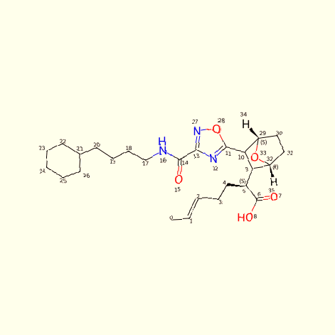 CC=CCC[C@H](C(=O)O)C1C(c2nc(C(=O)NCCCCC3CCCCC3)no2)[C@@H]2CC[C@H]1O2